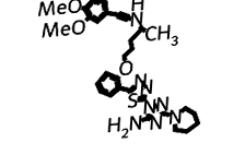 COc1ccc(C#CNC(C)CCCOc2ccccc2-c2nnc(-n3nc(N4CCCCC4)nc3N)s2)cc1OC